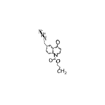 C=CCOC(=O)n1ccc(=O)c2cc(CN=[N+]=[N-])ccc21